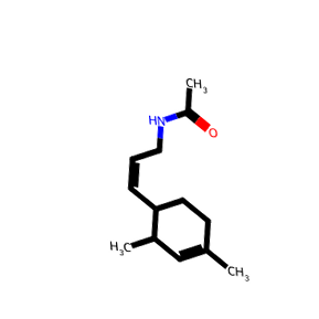 CC(=O)NC/C=C\C1CCC(C)=CC1C